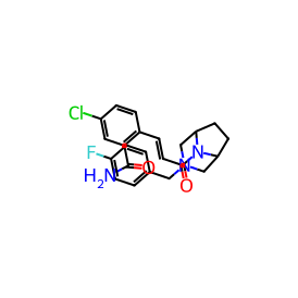 NC(=O)c1cc(Cl)ccc1/C=C/C(=O)N1C2CCC1CN(Cc1ccc(F)cc1)C2